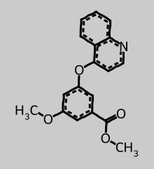 COC(=O)c1cc(OC)cc(Oc2ccnc3ccccc23)c1